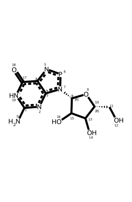 Nc1nc2c(npn2[C@@H]2O[C@H](CO)C(O)C2O)c(=O)[nH]1